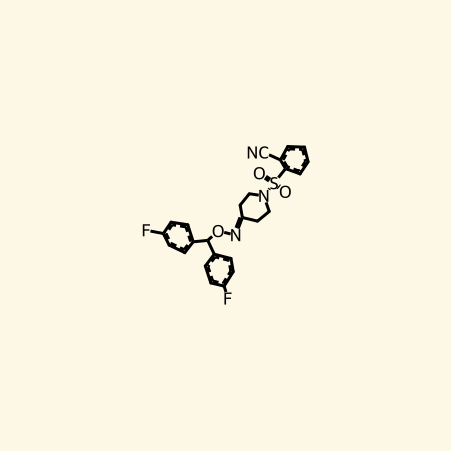 N#Cc1ccccc1S(=O)(=O)N1CCC(=NOC(c2ccc(F)cc2)c2ccc(F)cc2)CC1